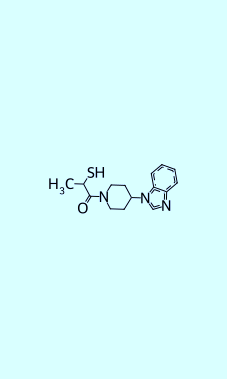 CC(S)C(=O)N1CCC(n2cnc3ccccc32)CC1